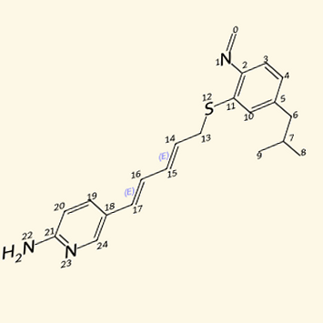 C=Nc1ccc(CC(C)C)cc1SC/C=C/C=C/c1ccc(N)nc1